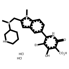 CCc1c(-c2ccc3c(c2)cc(CN(C)C2CCCNC2)n3C)[nH]c(=O)c(C(=O)O)c1O.Cl.Cl